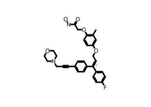 Cc1cc(OC/C=C(/c2ccc(F)cc2)c2ccc(C#CCN3CCOCC3)cc2)ccc1OCC(=O)N=O